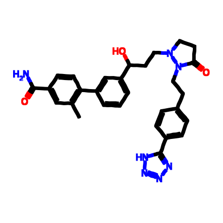 Cc1cc(C(N)=O)ccc1-c1cccc(C(O)CCN2CCC(=O)N2CCc2ccc(-c3nnn[nH]3)cc2)c1